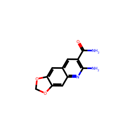 NC(=O)c1cc2cc3c(cc2nc1N)OCO3